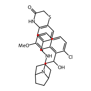 COc1ccc2ccc(Cl)c(C(O)CN3C4CCC3CC(NCc3ccc5c(c3)NC(=O)CS5)C4)c2n1